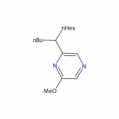 CCCCCCC(CCCC)c1cncc(OC)n1